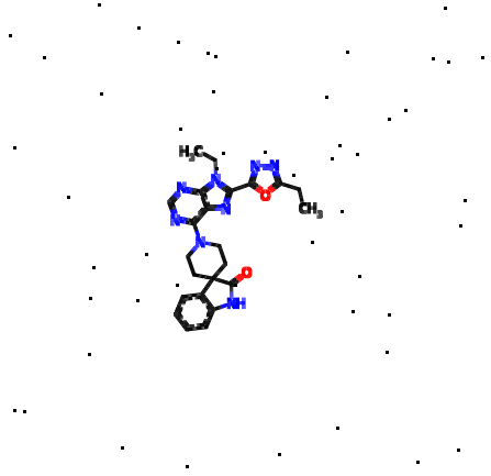 CCc1nnc(-c2nc3c(N4CCC5(CC4)C(=O)Nc4ccccc45)ncnc3n2CC)o1